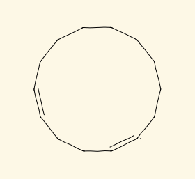 [C]1=CCCC=CCCCCCCCC1